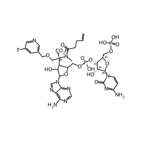 C=CCCC(=O)N(C)[C@](COCc1cncc(F)c1)(C(=O)O)C1C(COP(=O)(O)O[C@H]2[C@@H](O)[C@H](n3ccc(N)nc3=O)O[C@@H]2COP(=O)(O)O)OC(n2cnc3c(N)ncnc32)C1O